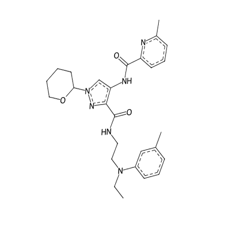 CCN(CCNC(=O)c1nn(C2CCCCO2)cc1NC(=O)c1cccc(C)n1)c1cccc(C)c1